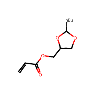 C=CC(=O)OCC1COC(CCCC)O1